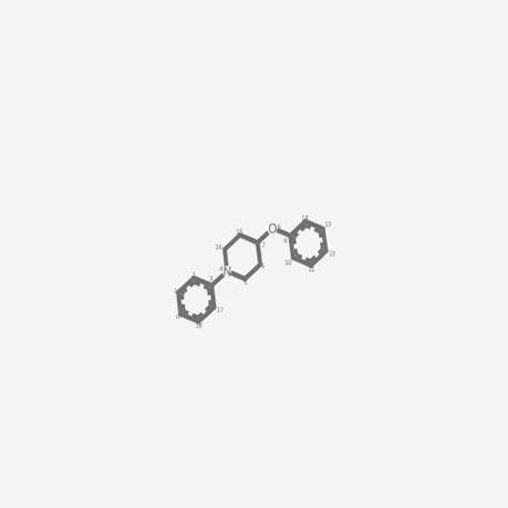 [c]1ccc(N2CCC(Oc3ccccc3)CC2)cc1